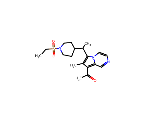 CCS(=O)(=O)N1CCC(C(C)c2c(C)c(C(C)=O)c3cnccn23)CC1